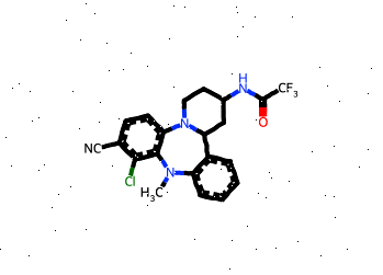 CN1c2ccccc2C2CC(NC(=O)C(F)(F)F)CCN2c2ccc(C#N)c(Cl)c21